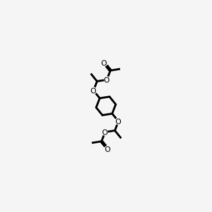 CC(=O)OC(C)OC1CCC(OC(C)OC(C)=O)CC1